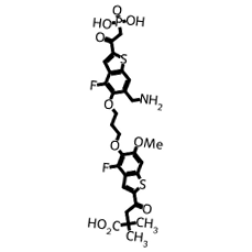 COc1cc2sc(C(=O)CC(C)(C)C(=O)O)cc2c(F)c1OCCCOc1c(CN)cc2sc(C(=O)CP(=O)(O)O)cc2c1F